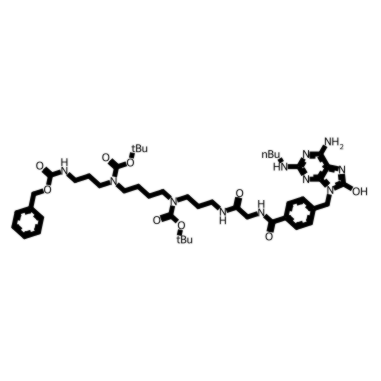 CCCCNc1nc(N)c2nc(O)n(Cc3ccc(C(=O)NCC(=O)NCCCN(CCCCN(CCCNC(=O)OCc4ccccc4)C(=O)OC(C)(C)C)C(=O)OC(C)(C)C)cc3)c2n1